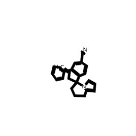 C=CCC1(c2ccc(C#N)cc2-c2ccccc2)CCCc2cccn21